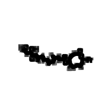 CC(=C/C=C/C(C)=C/[C@H](O)[C@H](O)C[C@H](C)O)C=C(C)/C=C/C(=O)O[C@H]1CCCC(=O)O[C@@H](C(C)C)C/C=C/C[C@@H]1C